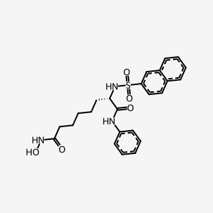 O=C(CCCCC[C@H](NS(=O)(=O)c1ccc2ccccc2c1)C(=O)Nc1ccccc1)NO